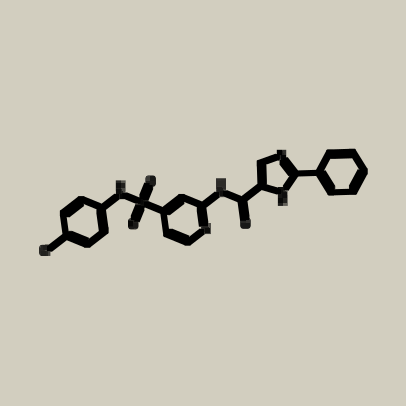 O=C(Nc1cc(S(=O)(=O)Nc2ccc(Cl)cc2)ccn1)c1cnc(-c2ccccc2)[nH]1